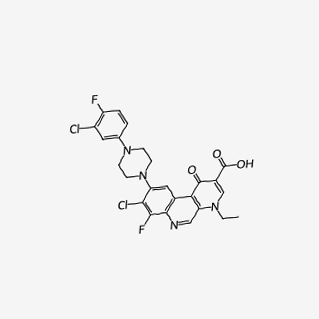 CCn1cc(C(=O)O)c(=O)c2c3cc(N4CCN(c5ccc(F)c(Cl)c5)CC4)c(Cl)c(F)c3ncc21